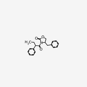 CCC(C(=O)N1C(=O)OCC1Cc1ccccc1)c1ccccc1